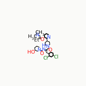 CC[C@@H](CN(C)C)Oc1cccnc1C1CCN(C(=O)[C@@H](Cc2ccc(Cl)cc2Cl)NC(=O)N2CCCC(O)C2)CC1